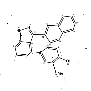 COc1cc(-c2cccc3[nH]nc(-c4ccc5ccccc5c4)c23)ccc1O